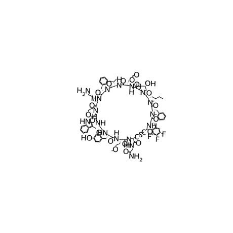 CCCC[C@H]1C(=O)N2C[C@H](O)C[C@@H]2C(=O)N[C@@H](COC=O)C(=O)N[C@@H](C(C)C)C(=O)N(C)[C@@H](Cc2ccccc2)C(=O)N[C@@H](CCCN)C(=O)N2CCOC[C@@H]2C(=O)N[C@@H](Cc2c[nH]c3ccccc23)C(=O)N[C@@H](Cc2ccc(O)cc2)C(=O)N[C@@H](CCOC)C(=O)N[C@H](C(=O)NCC(N)=O)CSCC(=O)N[C@@H](Cc2cc(F)c(F)c(F)c2)C(=O)N(C)[C@@H](Cc2ccccc2)C(=O)N1C